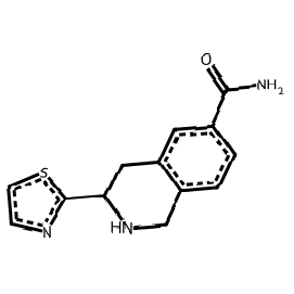 NC(=O)c1ccc2c(c1)CC(c1nccs1)NC2